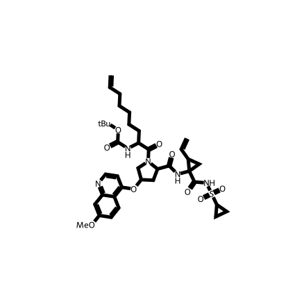 C=CCCCCCC(NC(=O)OC(C)(C)C)C(=O)N1CC(Oc2ccnc3cc(OC)ccc23)CC1C(=O)NC1(C(=O)NS(=O)(=O)C2CC2)CC1C=C